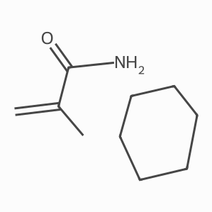 C1CCCCC1.C=C(C)C(N)=O